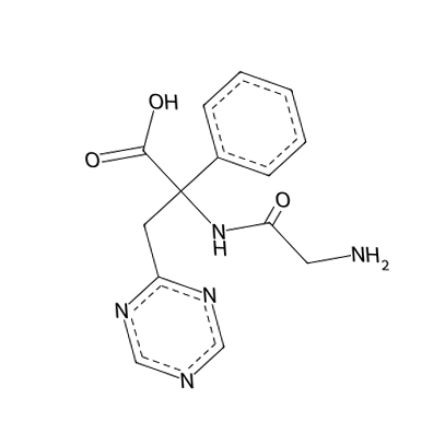 NCC(=O)NC(Cc1ncncn1)(C(=O)O)c1ccccc1